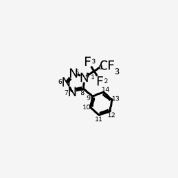 FC(F)(F)C(F)(F)n1nnnc1-c1ccccc1